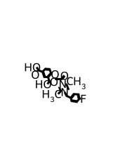 CC1CN(C(=O)COc2ccc(C(=O)O)cc2C(=O)O)C(C)CN1Cc1ccc(F)cc1